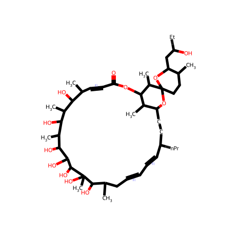 CCCC1/C=C/C=C/CC(C)C(O)C(C)(O)C(O)C(O)C(O)C(C)C(O)C(C)C(O)C(C)/C=C/C(=O)OC2C(C)C(CC1)OC1(CCC(C)C(CC(O)CC)O1)C2C